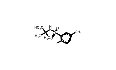 Cc1ccc(F)c(S(=O)(=O)NC(C)(C)C(=O)O)c1